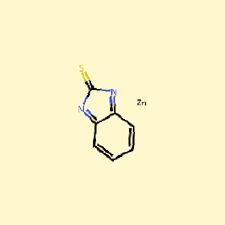 S=C1N=c2ccccc2=N1.[Zn]